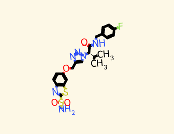 CC(C)[C@@H](C(=O)NCc1ccc(F)cc1)n1cc(COc2ccc3nc(S(N)(=O)=O)sc3c2)nn1